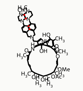 CO[C@H]1/C=C/O[C@@]2(C)Oc3c(C)c(O)c4c(O)c(c5c(CN(Cc6ccc(N7CCN(C)CC7)cc6)Cc6ccc(N7CCN(C)CC7)cc6)c[nH]c5c4c3C2=O)NC(=O)/C(C)=C\C=C\[C@H](C)[C@H](O)[C@@H](C)[C@@H](O)[C@@H](C)[C@H](OC(C)=O)[C@@H]1C